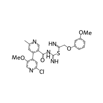 COc1cccc(OCC(=N)SC(=N)NC(=O)c2cnc(C)cc2-c2cc(Cl)ncc2OC)c1